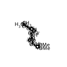 COc1ccc(CNC(=O)C(=O)[C@@H]2CCCN2C(=O)CNC(=O)c2ccnc3ccc(OCCC[N+](C)(C)C)cc23)cc1OC.[I-]